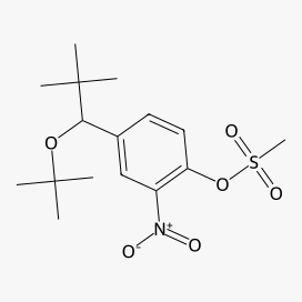 CC(C)(C)OC(c1ccc(OS(C)(=O)=O)c([N+](=O)[O-])c1)C(C)(C)C